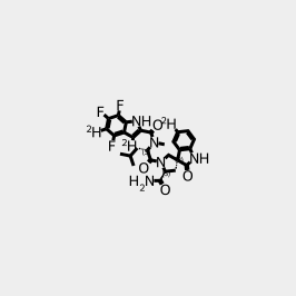 [2H]c1ccc2c(c1)[C@@]1(C[C@@H](C(N)=O)N(C(=O)[C@H](CC(C)C)N(C)C(=O)c3[nH]c4c(F)c(F)c([2H])c(F)c4c3[2H])C1)C(=O)N2